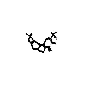 C=C/C(=C\c1c(C=C)ccc2cc3c(cc12)C(C)(C)C3)C(C)(C)CC